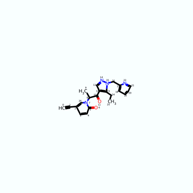 C#Cc1ccc(=O)n(C(C)C(=O)c2cnn(Cc3ccccn3)c2CC)c1